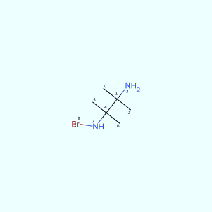 CC(C)(N)C(C)(C)NBr